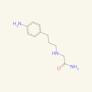 NC(=O)CNCCCc1ccc(N)cc1